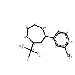 FC(F)(F)c1cc(C2CC(C(F)(C(F)(F)F)C(F)(F)F)OCCO2)ccn1